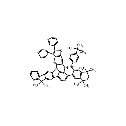 CC(C)(C)c1ccc(Nc2cc3c(cc2-c2ccc4c5cc6c(cc5n5c4c2Bc2cc4sc(-c7ccccc7)c(-c7ccccc7)c4cc2-5)-c2ccccc2C6(C)C)C(C)(C)CCC3(C)C)cc1